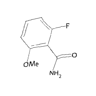 COc1cccc(F)c1C(N)=O